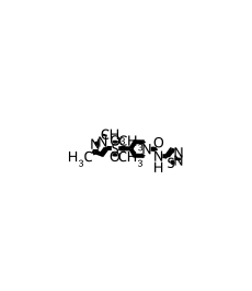 Cc1cc(S(=O)(=O)C(C)(C)C2CCN(C(=O)Nc3cnns3)CC2)n(C)n1